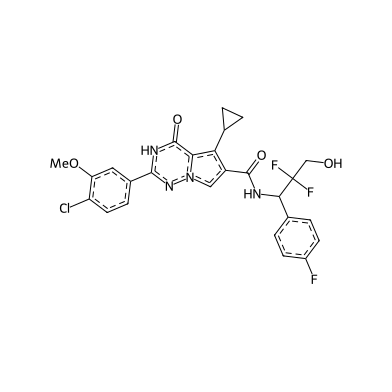 COc1cc(-c2nn3cc(C(=O)NC(c4ccc(F)cc4)C(F)(F)CO)c(C4CC4)c3c(=O)[nH]2)ccc1Cl